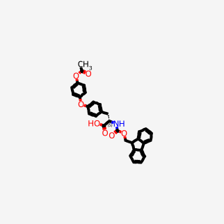 CC(=O)Oc1ccc(Oc2ccc(C[C@H](NC(=O)OCC3c4ccccc4-c4ccccc43)C(=O)O)cc2)cc1